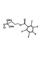 CCO[Si](CCCOC(=O)c1c(F)c(F)c(F)c(F)c1F)(OC)OC